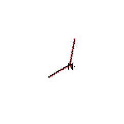 CCCCCCCCCCCCCCCCC/C=C/C1=C(/C=C/CCCCCCCCCCCCCCCCC)[N]C=C1